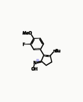 CCCCC1=C(c2ccc(OC)c(F)c2)/C(=N/O)CC1